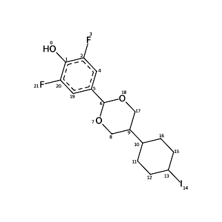 Oc1c(F)cc(C2OCC(C3CCC(I)CC3)CO2)cc1F